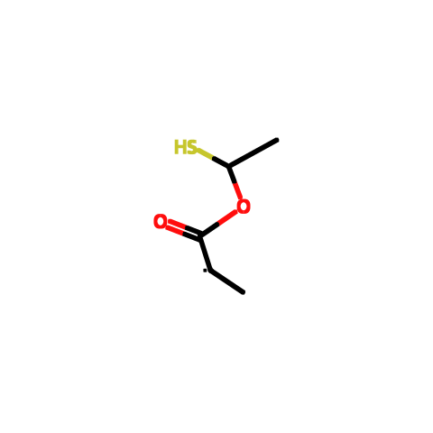 C[CH]C(=O)OC(C)S